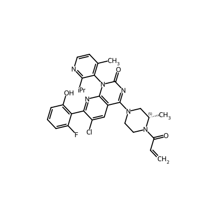 C=CC(=O)N1CCN(c2nc(=O)n(-c3c(C)ccnc3C(C)C)c3nc(-c4c(O)cccc4F)c(Cl)cc23)C[C@@H]1C